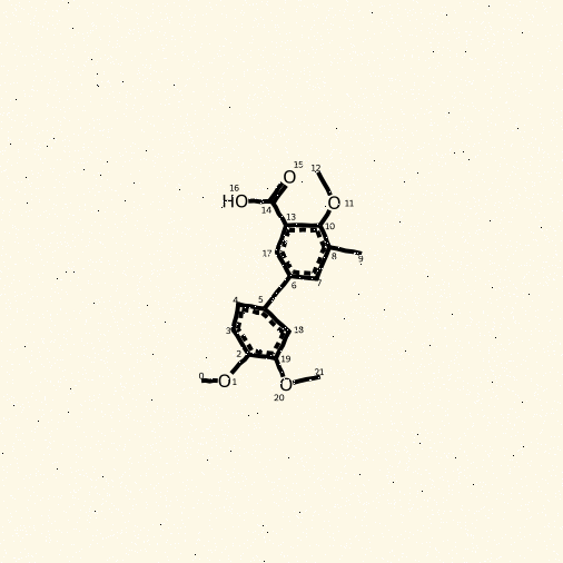 COc1ccc(-c2cc(C)c(OC)c(C(=O)O)c2)cc1OC